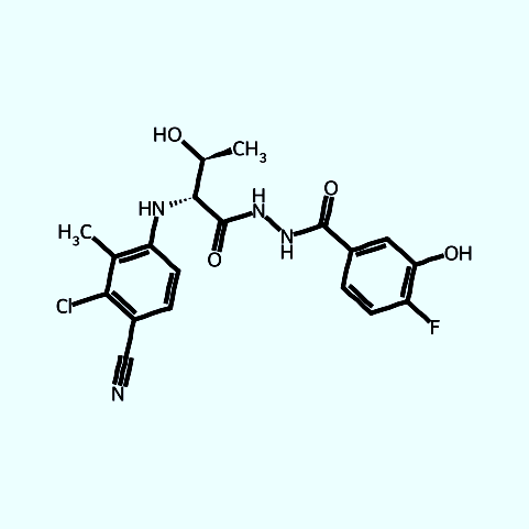 Cc1c(N[C@@H](C(=O)NNC(=O)c2ccc(F)c(O)c2)[C@H](C)O)ccc(C#N)c1Cl